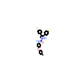 Cc1ccc(Oc2ccc(NC(=O)N3CC(c4ccc(F)cc4)=C(c4ccc(F)cc4)N3)cc2)cc1